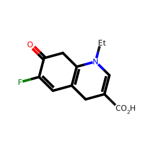 CCN1C=C(C(=O)O)CC2=C1CC(=O)C(F)=C2